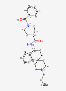 CC(C)(C)CCN1CCC2(CC[C@@H](NC(=O)C3CCN(C(=O)c4ccccc4)CC3)c3ccccc32)CC1